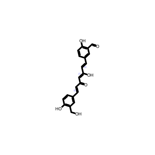 O=Cc1cc(/C=C/C(O)=C/C(=O)/C=C/c2ccc(O)c(CO)c2)ccc1O